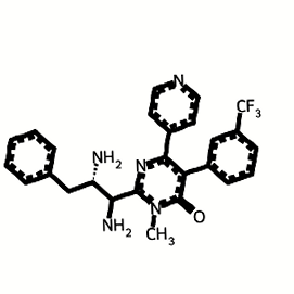 Cn1c(C(N)[C@@H](N)Cc2ccccc2)nc(-c2ccncc2)c(-c2cccc(C(F)(F)F)c2)c1=O